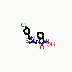 O=C1/C(=N\O)c2ccccc2N1Cc1csc(-c2ccc(Cl)cc2)n1